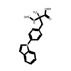 COC(=O)[C@](C)(Cc1ccc(-n2ccc3ccccc32)cc1)NC=O